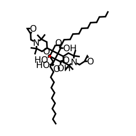 CCCCCCCCCCCCCCC(CCCCCCCCCCCCC)(C1CC(C)(C)N(CC2CO2)C(C)(C)C1)C(C(=O)O)(C1CC(C)(C)N(CC2CO2)C(C)(C)C1)C(C(=O)O)(C(=O)O)C(=O)O